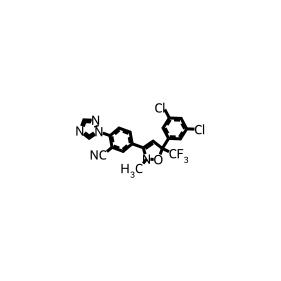 CN1OC(c2cc(Cl)cc(Cl)c2)(C(F)(F)F)C=C1c1ccc(-n2cncn2)c(C#N)c1